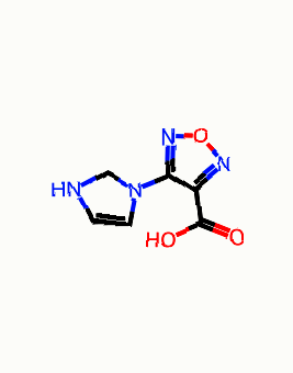 O=C(O)c1nonc1N1C=CNC1